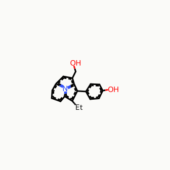 CCc1c(-c2ccc(O)cc2)c2c(CO)cc3cccc1n32